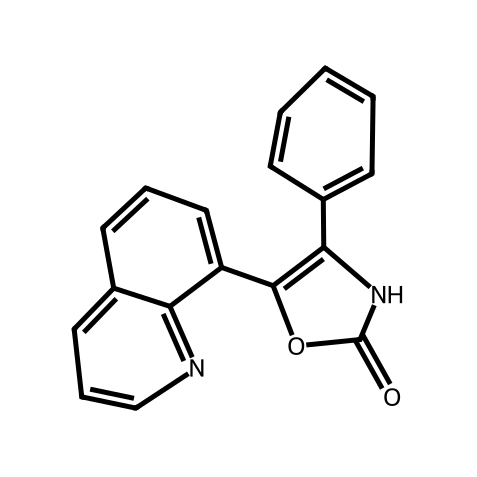 O=c1[nH]c(-c2ccccc2)c(-c2cccc3cccnc23)o1